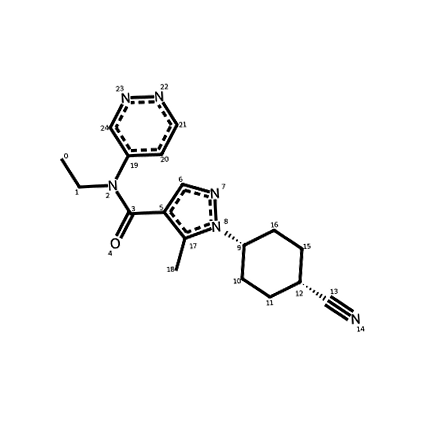 CCN(C(=O)c1cnn([C@H]2CC[C@@H](C#N)CC2)c1C)c1ccnnc1